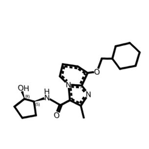 Cc1nc2c(OCC3CCCCC3)cccn2c1C(=O)N[C@H]1CCC[C@H]1O